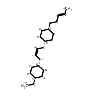 C/C=C/CC[C@H]1CC[C@H](C/C=C\C[C@H]2CC[C@H](CC)CC2)CC1